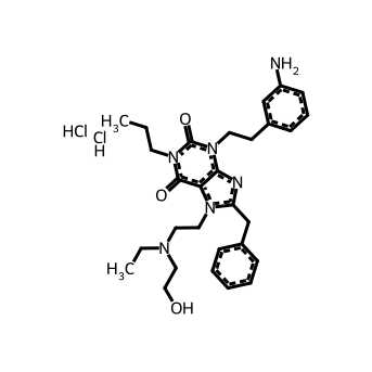 CCCn1c(=O)c2c(nc(Cc3ccccc3)n2CCN(CC)CCO)n(CCc2cccc(N)c2)c1=O.Cl.Cl